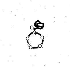 O=C(N1CCOCCOCCOCCOCC1)C12CC3CC(CC(C3)C1)C2